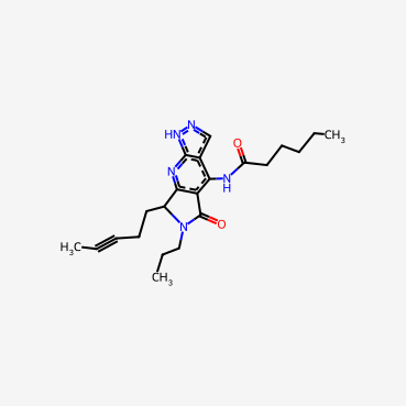 CC#CCCC1c2nc3[nH]ncc3c(NC(=O)CCCCC)c2C(=O)N1CCC